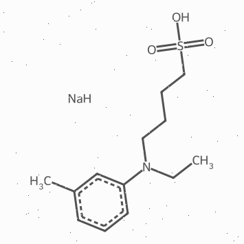 CCN(CCCCS(=O)(=O)O)c1cccc(C)c1.[NaH]